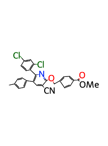 COC(=O)c1ccc(COc2nc(-c3ccc(Cl)cc3Cl)c(-c3ccc(C)cc3)cc2C#N)cc1